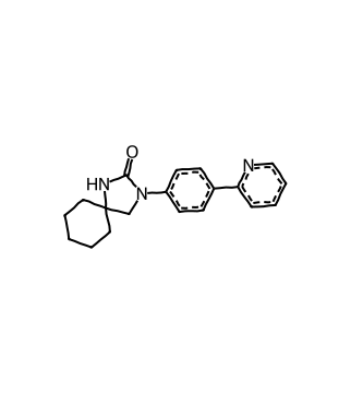 O=C1NC2(CCCCC2)CN1c1ccc(-c2ccccn2)cc1